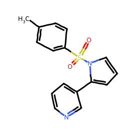 Cc1ccc(S(=O)(=O)n2cccc2-c2cccnc2)cc1